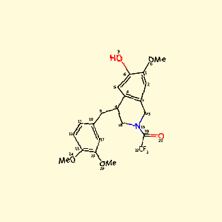 COc1cc2c(cc1O)C(Cc1ccc(OC)c(OC)c1)CN(C(=O)C(F)(F)F)C2